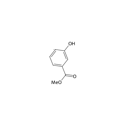 COC(=O)c1cc[c]c(O)c1